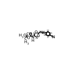 CC(C)(C)OC(=O)NC1COC(CCNc2ccc(C#N)cc2)OC1